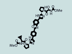 COC(=O)N[C@@H](O)C(=O)N1CCC[C@H]1c1ncc(-c2ccc3oc(-c4ccc(-c5cnc([C@@H]6CCCN6C(=O)[C@@H](NC(=O)OC)C6CC6)[nH]5)cc4)nc3c2)[nH]1